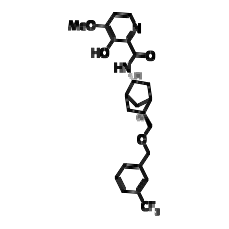 COc1ccnc(C(=O)N[C@@H]2CC3CC2C[C@@H]3COCc2cccc(C(F)(F)F)c2)c1O